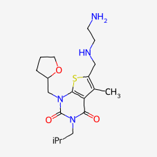 Cc1c(CNCCN)sc2c1c(=O)n(CC(C)C)c(=O)n2CC1CCCO1